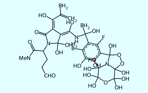 BC(=C)/C(O)=C1/C(=O)N(C(CCC=O)C(=O)NC)C(O)(O)/C1=C(/O)NC(B)(O)c1c(B)c(O)c(O)c(C2(O)OOC3(O)N2C(O)(O)C(O)(O)OC3(O)O)c1F